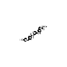 CNC(=O)n1ccc2cc(Nc3ccnc(NC(=O)c4ccc(CN5CCC(O)CC5)cc4)c3)ccc21